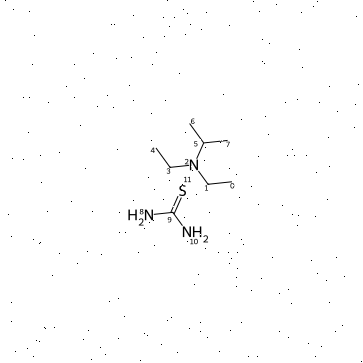 CCN(CC)C(C)C.NC(N)=S